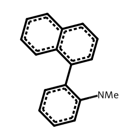 CNc1ccccc1-c1cccc2ccccc12